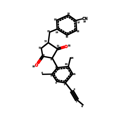 CC#Cc1cc(C)c(C2C(=O)CC(Cc3ccc(C#N)cc3)C2=O)c(C)c1